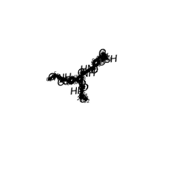 CCOC(C)(C)CCNC(=O)COc1ccc(-c2cc(OCC(=O)NCCC(C)(C)OCC)cc(C(=O)NCCNC(=O)C3CCC(CN4C(=O)CC(S)C4=O)CC3)c2)cc1